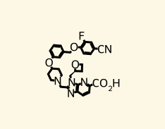 N#Cc1ccc(OCc2cccc(OC3CCN(Cc4nc5ccc(C(=O)O)nc5n4C[C@@H]4CCO4)CC3)c2)c(F)c1